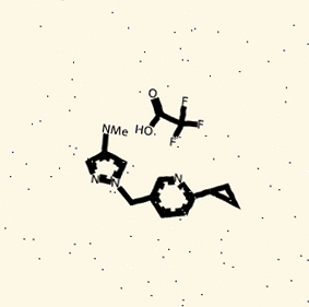 CNc1cnn(Cc2ccc(C3CC3)nc2)c1.O=C(O)C(F)(F)F